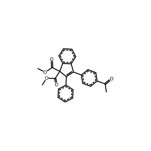 COC(=O)C1(C(=O)OC)C(c2ccccc2)=C(c2ccc(C(C)=O)cc2)c2ccccc21